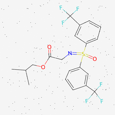 CC(C)COC(=O)CN=S(=O)(c1cccc(C(F)(F)F)c1)c1cccc(C(F)(F)F)c1